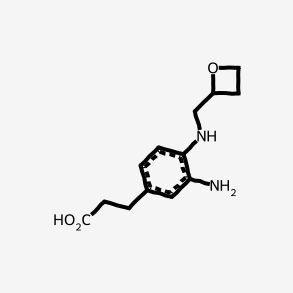 Nc1cc(CCC(=O)O)ccc1NCC1CCO1